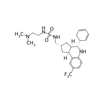 CN(C)CCNS(=O)(=O)NC[C@@H]1C[C@@H]2[C@H](C1)c1cc(C(F)(F)F)ccc1N[C@H]2C1C=CC=CC1